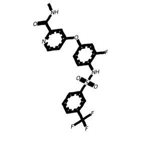 CNC(=O)c1cc(Oc2ccc(NS(=O)(=O)c3cccc(C(F)(F)F)c3)c(F)c2)ccn1